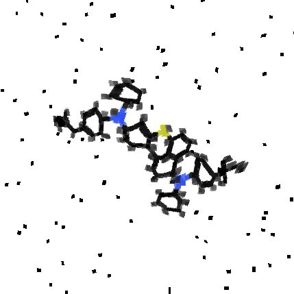 C[SiH](C)Cc1ccc(N(c2ccccc2)c2ccc3c(c2)Sc2cccc4c(N(c5ccccc5)c5ccc([Si](C)(C)C)cc5)ccc-3c24)cc1